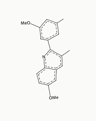 COc1cc(C)cc(-c2nc3ccc(OC)cc3cc2C)c1